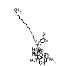 CCCCCCCCCCCCCCCCOC[C@@H](COP(=O)(O)OC[C@@]1(/C=N\C)O[C@@H](c2ccc3c(N)ncnn23)[C@H](O)[C@@H]1O)OCc1cc(F)cc(C#N)c1